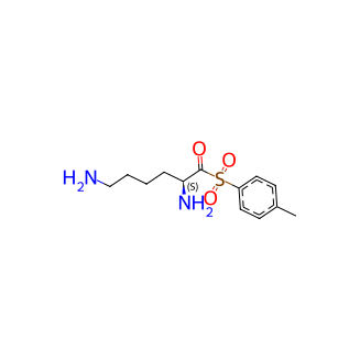 Cc1ccc(S(=O)(=O)C(=O)[C@@H](N)CCCCN)cc1